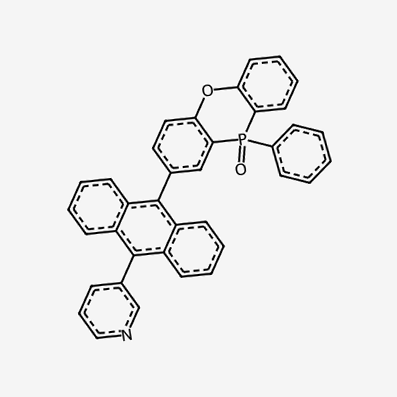 O=P1(c2ccccc2)c2ccccc2Oc2ccc(-c3c4ccccc4c(-c4cccnc4)c4ccccc34)cc21